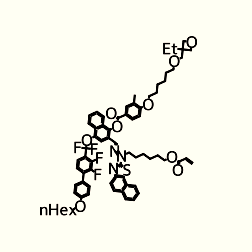 C=CC(=O)OCCCCCCN(/N=C/c1cc(OC(F)(F)c2ccc(-c3ccc(OCCCCCC)cc3)c(F)c2F)c2ccccc2c1OC(=O)c1ccc(OCCCCCCOCC2(CC)COC2)c(C)c1)c1nc2ccc3ccccc3c2s1